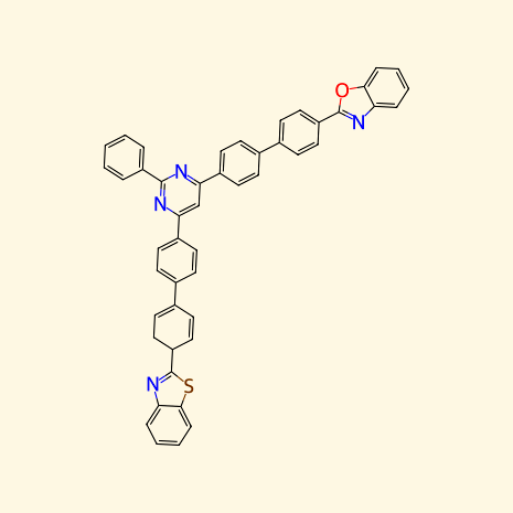 C1=CC(c2nc3ccccc3s2)CC=C1c1ccc(-c2cc(-c3ccc(-c4ccc(-c5nc6ccccc6o5)cc4)cc3)nc(-c3ccccc3)n2)cc1